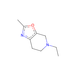 CCN1CCc2nc(C)oc2C1